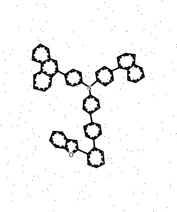 c1ccc(-c2cc3ccccc3o2)c(-c2ccc(-c3ccc(N(c4ccc(-c5cccc6ccccc56)cc4)c4ccc(-c5cc6ccccc6c6ccccc56)cc4)cc3)cc2)c1